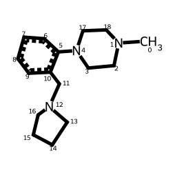 CN1CCN(c2ccccc2CN2CCCC2)CC1